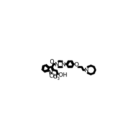 Cn1c(CC(=O)O)c(C(=O)N2CCN(c3ccc(OCCCN4CCCCCCC4)cc3)CC2)c2ccccc21